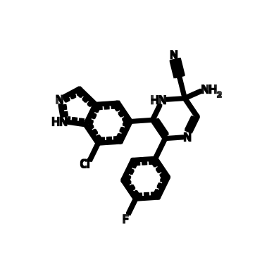 N#CC1(N)C=NC(c2ccc(F)cc2)=C(c2cc(Cl)c3[nH]ncc3c2)N1